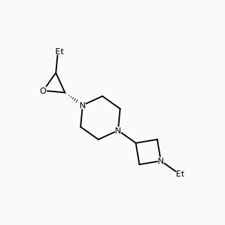 CCC1O[C@H]1N1CCN(C2CN(CC)C2)CC1